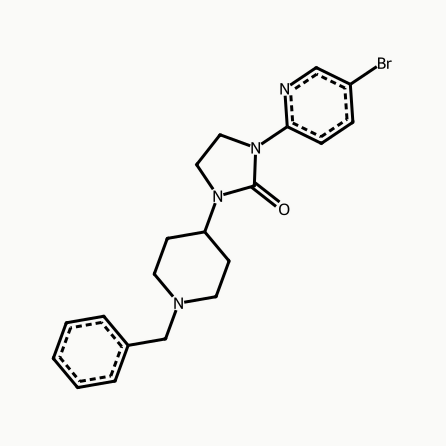 O=C1N(c2ccc(Br)cn2)CCN1C1CCN(Cc2ccccc2)CC1